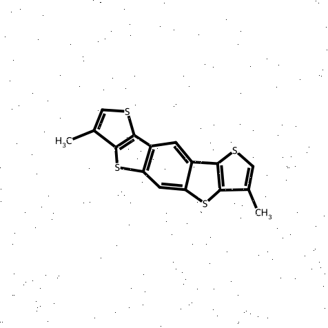 Cc1csc2c1sc1cc3sc4c(C)csc4c3cc12